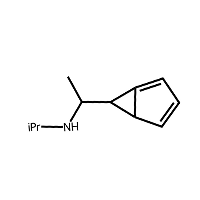 CC(C)NC(C)C1C2=CC=CC21